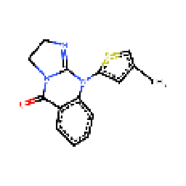 Cc1csc(N2C3=NCCN3C(=O)c3ccccc32)c1